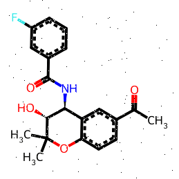 CC(=O)c1ccc2c(c1)[C@H](NC(=O)c1cccc(F)c1)[C@H](O)C(C)(C)O2